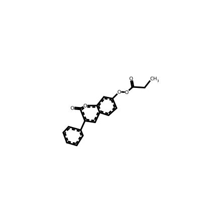 CCC(=O)OOc1ccc2cc(-c3ccccc3)c(=O)oc2c1